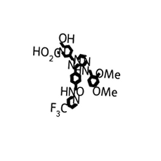 COc1ccc(CNc2nccn3c(C4CCC(CO)N(C(=O)O)C4)nc(-c4ccc(C(=O)Nc5cc(C(F)(F)F)ccn5)cc4)c23)c(OC)c1